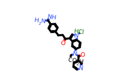 Cl.Cn1cc(C(=O)CCc2ccc(C(=N)N)cc2)c2cc(N(CC(=O)O)C(=O)c3cccnc3)ccc21